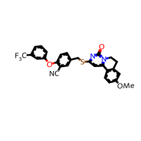 COc1ccc2c(c1)CCn1c-2cc(SCc2ccc(Oc3cccc(C(F)(F)F)c3)c(C#N)c2)nc1=O